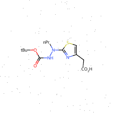 CCCN(NC(=O)OC(C)(C)C)c1nc(CC(=O)O)cs1